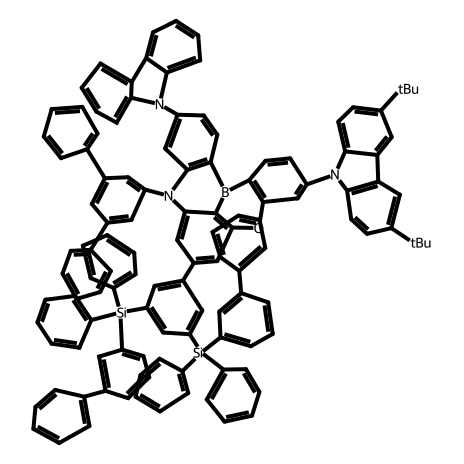 CC(C)(C)c1ccc2c(c1)c1cc(C(C)(C)C)ccc1n2-c1ccc2c(c1)Oc1cc(-c3cc([Si](c4ccccc4)(c4ccccc4)c4cccc(-c5ccccc5)c4)cc([Si](c4ccccc4)(c4ccccc4)c4cccc(-c5ccccc5)c4)c3)cc3c1B2c1ccc(-n2c4ccccc4c4ccccc42)cc1N3c1cc(-c2ccccc2)cc(-c2ccccc2)c1